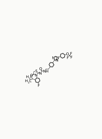 CC(C)c1cc(F)ccc1N1C(=O)CS/C1=N\C(=O)NCCc1ccc(-c2ncn(-c3ccc(OC(F)(F)F)cc3)n2)cc1